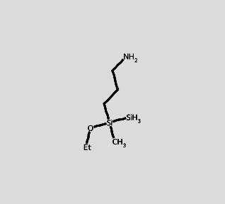 CCO[Si](C)([SiH3])CCCN